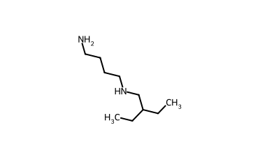 CCC(CC)CNCCCCN